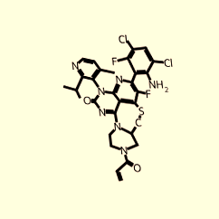 C=CC(=O)N1CCN2c3nc(=O)n(-c4c(C)ccnc4C(C)C)c4nc(-c5c(N)c(Cl)cc(Cl)c5F)c(F)c(c34)SCC2C1